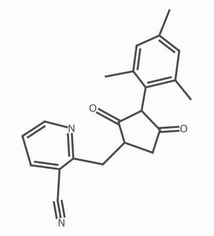 Cc1cc(C)c(C2C(=O)CC(Cc3ncccc3C#N)C2=O)c(C)c1